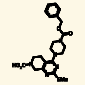 CSc1nc2c(c(N3CCN(C(=O)OCc4ccccc4)CC3)n1)CCN(C(=O)O)C2